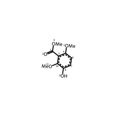 COC(=O)c1c(OC)ccc(O)c1OC